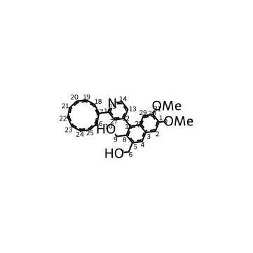 COc1cc2cc(CO)c(CO)c(-c3ccnc(-c4ccccccccc4)c3)c2cc1OC